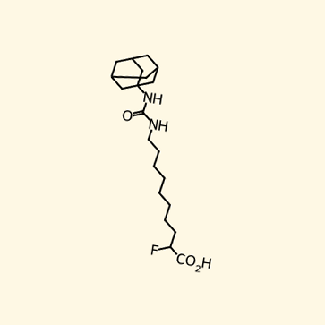 O=C(NCCCCCCCCC(F)C(=O)O)NC12CC3CC(CC(C3)C1)C2